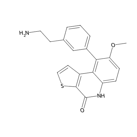 COc1ccc2[nH]c(=O)c3sccc3c2c1-c1cccc(CCN)c1